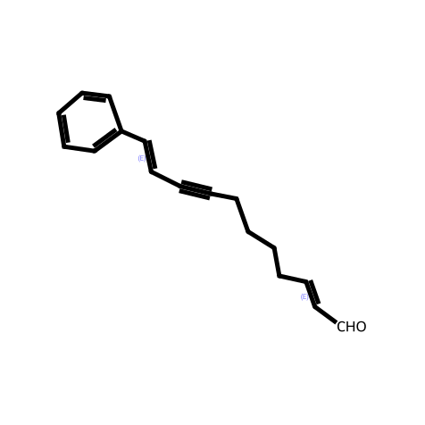 O=C/C=C/CCCCC#C/C=C/c1ccccc1